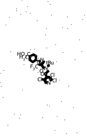 CC(C)(C)CN(CC(=O)c1c(Cl)cnc(Cl)c1Cl)C(=O)c1cnn([C@H]2CC[C@](C)(C(=O)O)CC2)c1C(F)(F)F